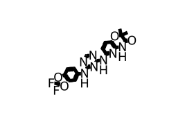 CC1(C)Oc2ccc(Nc3ncnc(Nc4ccc5c(c4)OC(F)(F)O5)n3)nc2NC1=O